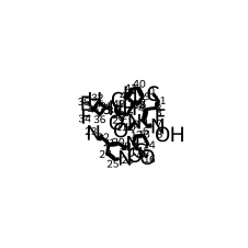 C\C=C(F)/C=C(\C=N\O)N(C(=O)[C@@H]1CCS(=O)(=O)N1c1cc(C#N)ccn1)C(C(=O)NC1CC(F)(F)C1)c1ccccc1C